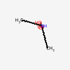 CCCCCCCCC=CCCCCCCCC(=O)N[C@@H](CO)[C@H](O)CCCCCCCCCCCCCCC